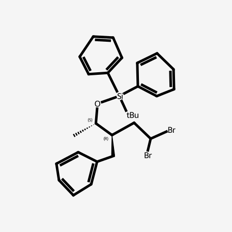 C[C@H](O[Si](c1ccccc1)(c1ccccc1)C(C)(C)C)[C@H](Cc1ccccc1)CC(Br)Br